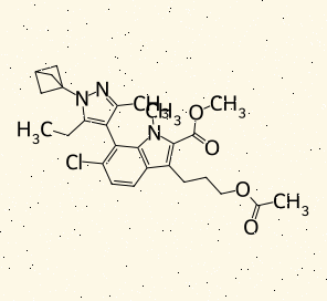 CCc1c(-c2c(Cl)ccc3c(CCCOC(C)=O)c(C(=O)OC)n(C)c23)c(C)nn1C12CC(C1)C2